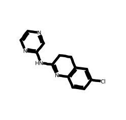 Clc1ccc2c(c1)CCC(Nc1cnccn1)=N2